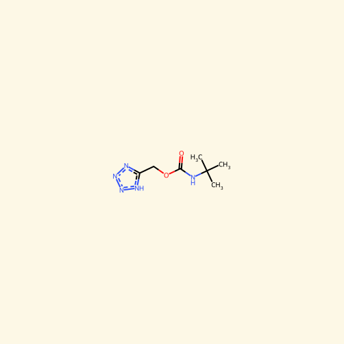 CC(C)(C)NC(=O)OCc1nnn[nH]1